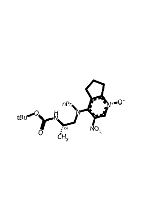 CCCN(C[C@H](C)NC(=O)OC(C)(C)C)c1c([N+](=O)[O-])c[n+]([O-])c2c1CCC2